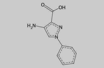 Nc1cn(-c2ccccc2)nc1C(=O)O